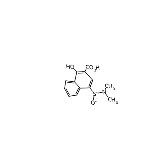 CN(C)[S+]([O-])c1cc(C(=O)O)c(O)c2ccccc12